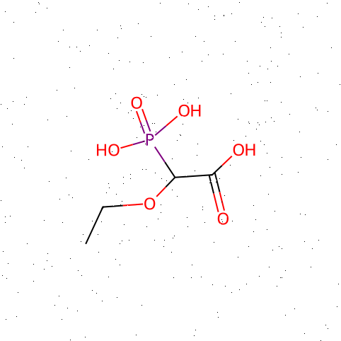 CCOC(C(=O)O)P(=O)(O)O